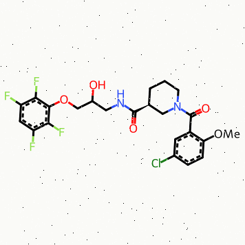 COc1ccc(Cl)cc1C(=O)N1CCC[C@H](C(=O)NCC(O)COc2c(F)c(F)cc(F)c2F)C1